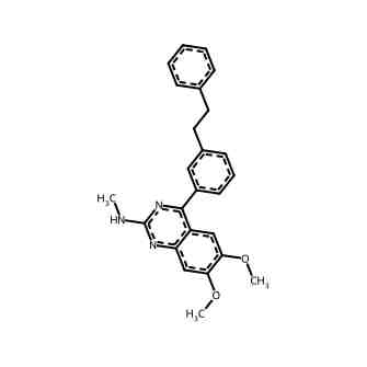 CNc1nc(-c2cccc(CCc3ccccc3)c2)c2cc(OC)c(OC)cc2n1